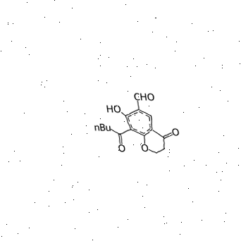 CCCCC(=O)c1c(O)c(C=O)cc2c1OCCC2=O